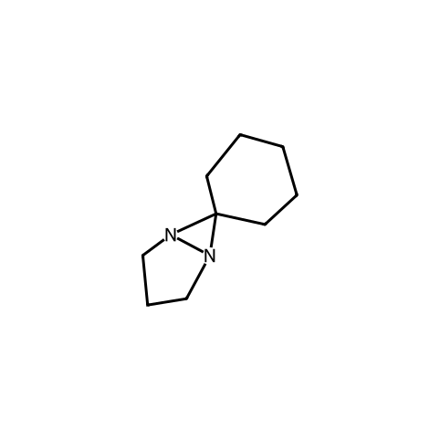 C1CCC2(CC1)N1CCCN12